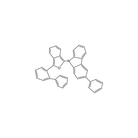 c1ccc(-c2ccc3c(c2)c2ccccc2n3-c2oc(-c3ccccc3-c3ccccc3)c3ccccc23)cc1